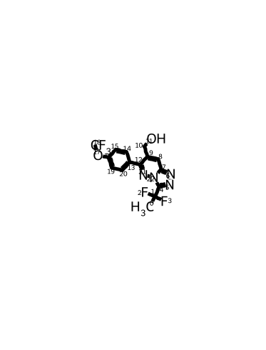 CC(F)(F)c1nnc2cc(CO)c(-c3ccc(OC(F)(F)F)cc3)nn12